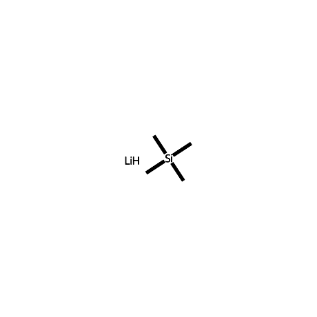 C[Si](C)(C)C.[LiH]